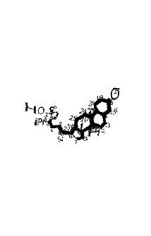 CC(C)[C@@H](CC[C@@H](C)[C@H]1CC[C@@]2(C)[C@@H]3CCC4CC(=O)C=C[C@]4(C)[C@@]3(C)CC[C@]12C)OS(=O)(=O)O